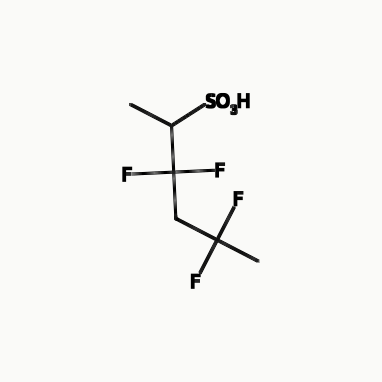 CC(C(F)(F)CC(C)(F)F)S(=O)(=O)O